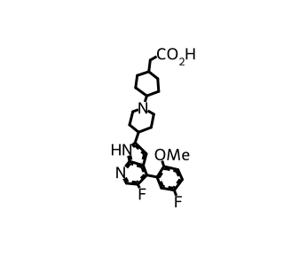 COc1ccc(F)cc1-c1c(F)cnc2[nH]c(C3CCN(C4CCC(CC(=O)O)CC4)CC3)cc12